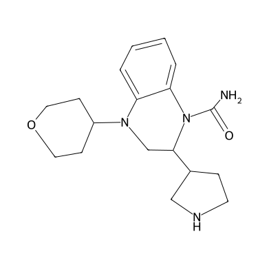 NC(=O)N1c2ccccc2N(C2CCOCC2)CC1C1CCNC1